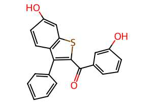 O=C(c1cccc(O)c1)c1sc2cc(O)ccc2c1-c1ccccc1